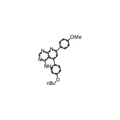 CCCCOc1ccc(-c2cc(-c3ccc(OC)cc3)nc3ncnc(N)c23)cc1